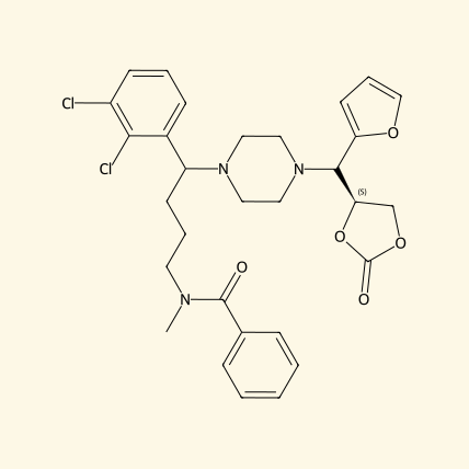 CN(CCCC(c1cccc(Cl)c1Cl)N1CCN(C(c2ccco2)[C@H]2COC(=O)O2)CC1)C(=O)c1ccccc1